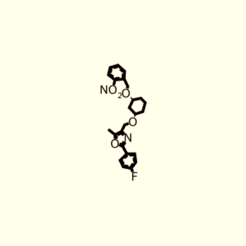 Cc1oc(-c2ccc(F)cc2)nc1CO[C@H]1CCC[C@@H](OCc2ccccc2[N+](=O)[O-])C1